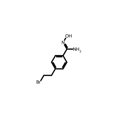 N/C(=N\O)c1ccc(CCBr)cc1